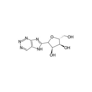 OC[C@H]1OC(c2nc3nnncc3[nH]2)[C@H](O)[C@@H]1O